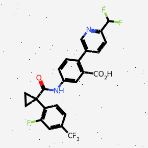 O=C(O)c1cc(NC(=O)C2(c3ccc(C(F)(F)F)cc3F)CC2)ccc1-c1ccc(C(F)F)nc1